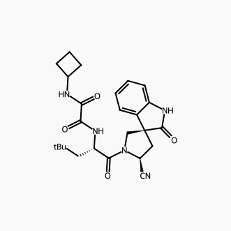 CC(C)(C)C[C@H](NC(=O)C(=O)NC1CCC1)C(=O)N1C[C@]2(C[C@H]1C#N)C(=O)Nc1ccccc12